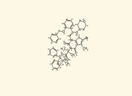 Cc1c(Br)sc2c1c(=O)n(C(C)(C)C(=O)O[Si](c1ccccc1)(c1ccccc1)C(C)(C)C)c(=O)n2C[C@H](OC1CCOCC1)c1ccccc1OCc1ccccc1